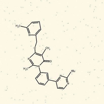 Cc1cccc(COc2nc(C)n(-c3cccc(-c4ccnc(C(C)(C)C)n4)c3)c(=O)c2C)n1